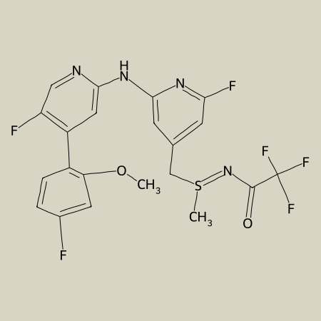 COc1cc(F)ccc1-c1cc(Nc2cc(CS(C)=NC(=O)C(F)(F)F)cc(F)n2)ncc1F